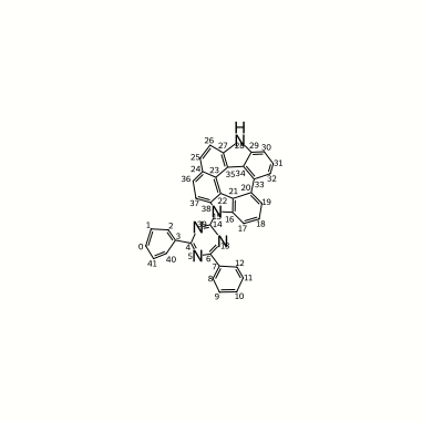 c1ccc(-c2nc(-c3ccccc3)nc(-n3c4cccc5c4c4c6c(ccc7[nH]c8cccc-5c8c76)ccc43)n2)cc1